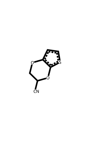 N#CC1COc2ccsc2O1